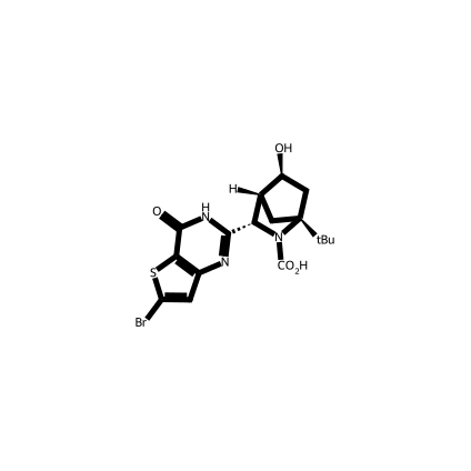 CC(C)(C)[C@]12C[C@H]([C@@H](c3nc4cc(Br)sc4c(=O)[nH]3)N1C(=O)O)[C@@H](O)C2